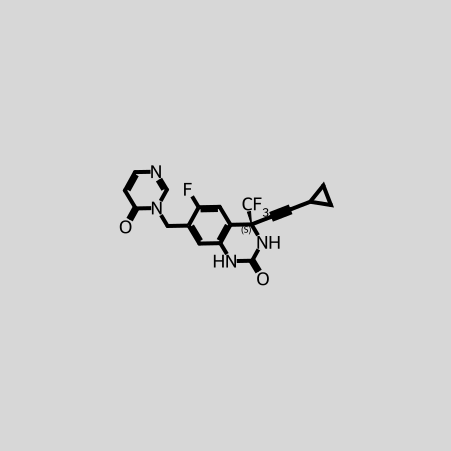 O=C1Nc2cc(Cn3cnccc3=O)c(F)cc2[C@@](C#CC2CC2)(C(F)(F)F)N1